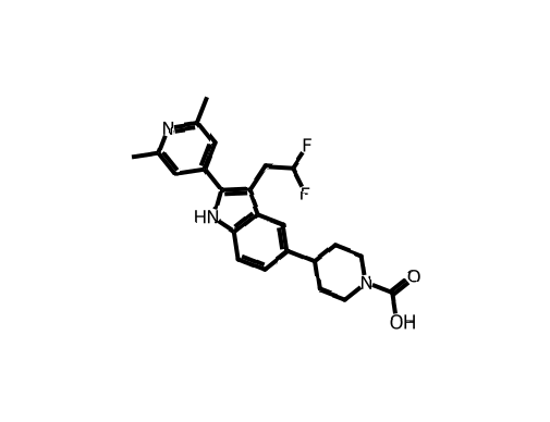 Cc1cc(-c2[nH]c3ccc(C4CCN(C(=O)O)CC4)cc3c2CC(F)F)cc(C)n1